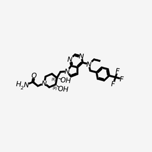 CCN(Cc1ccc(C(F)(F)F)cc1)c1ncnc2c1ccn2C[C@]1(O)CCN(CC(N)=O)C[C@H]1O